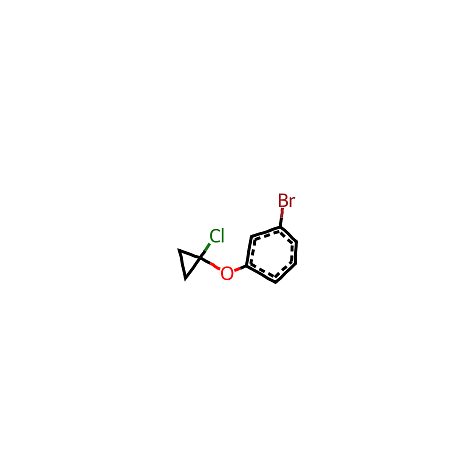 ClC1(Oc2cccc(Br)c2)CC1